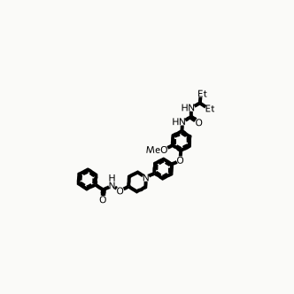 CCC(CC)NC(=O)Nc1ccc(Oc2ccc(N3CCC(ONC(=O)c4ccccc4)CC3)cc2)c(OC)c1